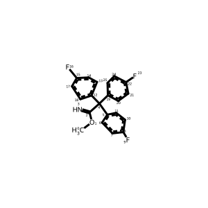 COC(=N)C(c1ccc(F)cc1)(c1ccc(F)cc1)c1ccc(F)cc1